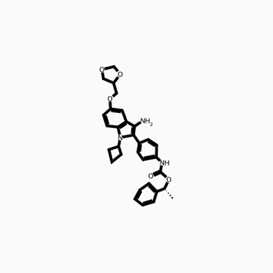 C[C@@H](OC(=O)Nc1ccc(-c2c(N)c3cc(OCC4COCO4)ccc3n2C2CCC2)cc1)c1ccccc1